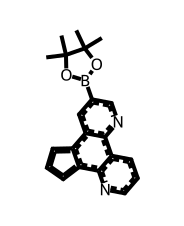 CC1(C)OB(c2cnc3c(c2)c2c(c4ncccc43)=C=C=C=2)OC1(C)C